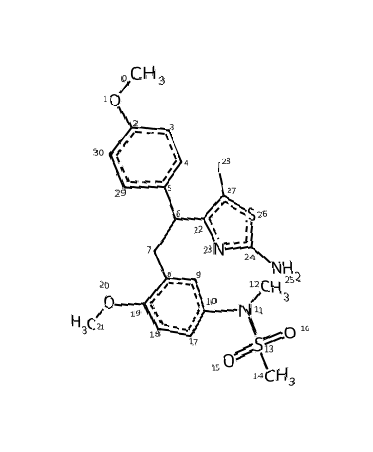 COc1ccc(C(Cc2cc(N(C)S(C)(=O)=O)ccc2OC)c2nc(N)sc2I)cc1